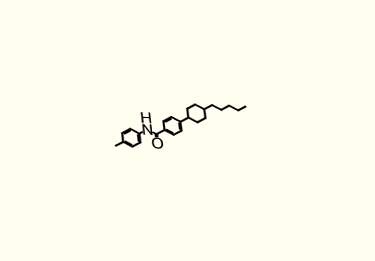 CCCCCC1CCC(c2ccc(C(=O)Nc3ccc(C)cc3)cc2)CC1